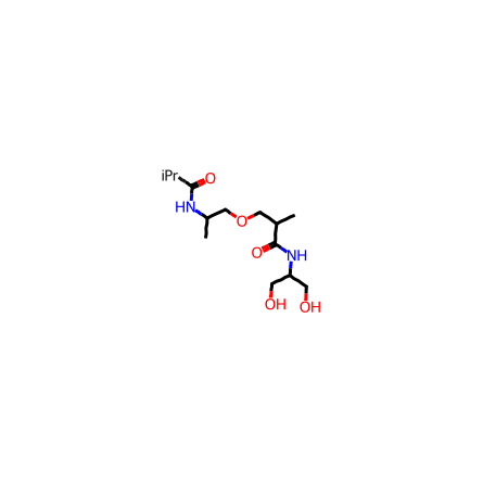 CC(COCC(C)C(=O)NC(CO)CO)NC(=O)C(C)C